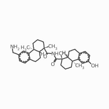 C[C@]1(C(=O)NC(=O)[C@@]2(C)CCC[C@]3(C)c4cc(CN)ccc4CC[C@@H]23)CCC[C@]2(C)c3cc(O)ccc3CC[C@@H]12